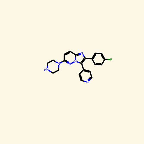 Fc1ccc(-c2nc3ccc(N4CCNCC4)nn3c2-c2ccncc2)cc1